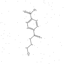 O=[N+]([O-])c1ccc(C(=S)CCCCl)cc1